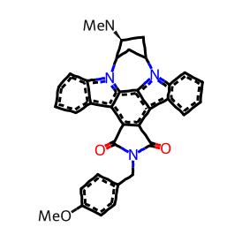 CN[C@H]1CC2CC1n1c3ccccc3c3c4c(c5c6ccccc6n2c5c31)C(=O)N(Cc1ccc(OC)cc1)C4=O